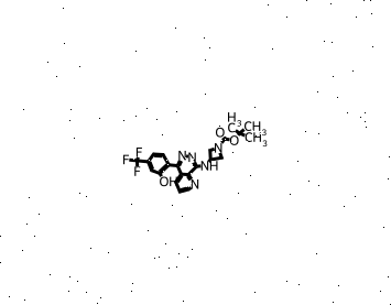 CC(C)(C)OC(=O)N1CC(Nc2nnc(-c3ccc(C(F)(F)F)cc3O)c3cccnc23)C1